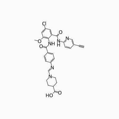 C#Cc1ccc(NC(=O)c2cc(Cl)cc(OC)c2NC(=O)c2ccc(N=CN3CCC(C(=O)O)CC3)cc2)nc1